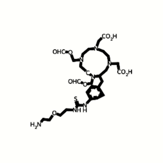 NCCOCCNC(=S)Nc1ccc(CC2CN(CC(=O)O)CCN(CC(=O)O)CCN(COC=O)CCN2COC=O)cc1